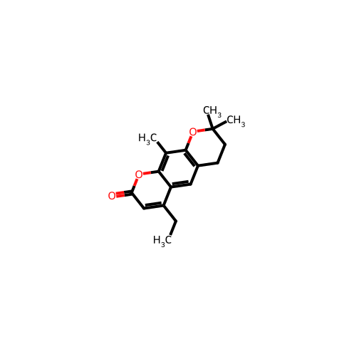 CCc1cc(=O)oc2c(C)c3c(cc12)CCC(C)(C)O3